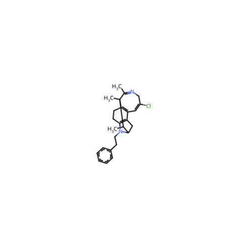 C/C1=N/C/C(Cl)=C\C2=C3CCC4=C2CC(C(C)C31C)N4CCc1ccccc1